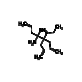 C=CCC(N)(N)C(CC=C)(CC=C)CCC